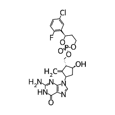 C=C1C(n2cnc3c(=O)[nH]c(N)nc32)C[C@H](O)[C@H]1CO[P@]1(=O)OCC[C@H](c2cc(Cl)ccc2F)O1